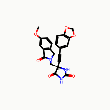 COc1ccc2c(c1)C(=O)N(C[C@@]1(C#Cc3ccc4c(c3)OCO4)NC(=O)NC1=O)C2